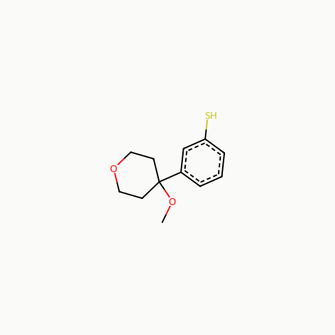 COC1(c2cccc(S)c2)CCOCC1